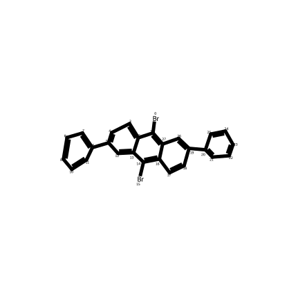 Brc1c2ccc(-c3ccccc3)cc2c(Br)c2ccc(-c3ccccc3)cc12